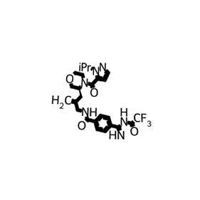 C=C(CNC(=O)c1ccc(C(=N)NC(=O)C(F)(F)F)cc1)C[C@H]1COCCN1C(=O)c1ccnn1C(C)C